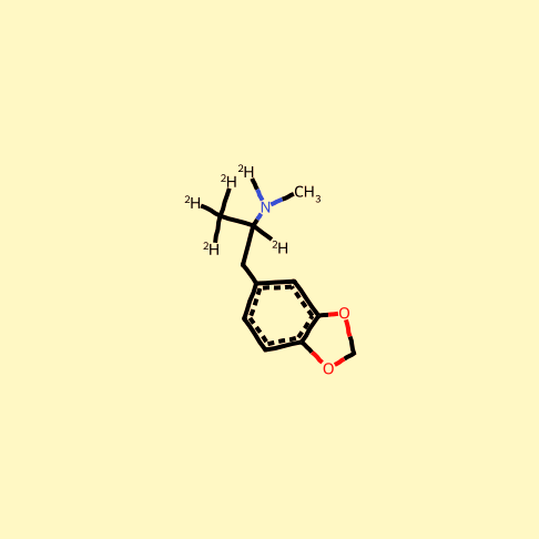 [2H]N(C)C([2H])(Cc1ccc2c(c1)OCO2)C([2H])([2H])[2H]